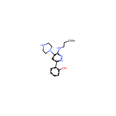 COCCNc1nnc(-c2ccccc2O)cc1N1CCNCC1